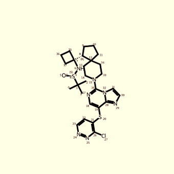 CC(C)(C)[S@@+]([O-])NC1([C@@H]2CCCC23CCN(c2ncc(Sc4ccnnc4Cl)c4nccn24)CC3)CCC1